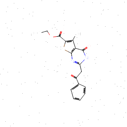 CCOC(=O)c1sc2nc(CC(=O)c3ccccc3)[nH]c(=O)c2c1C